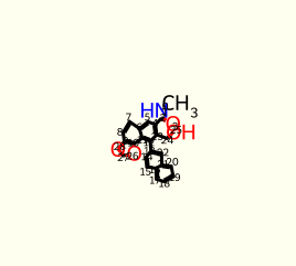 CNC(=O)c1cc2ccc3c(c2c(-c2ccc4ccccc4c2)c1CO)OCO3